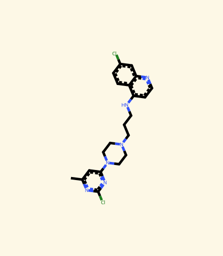 Cc1cc(N2CCN(CCCNc3ccnc4cc(Cl)ccc34)CC2)nc(Cl)n1